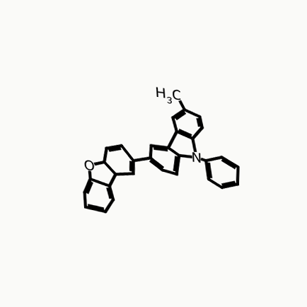 Cc1ccc2c(c1)c1cc(C3=CC4c5ccccc5OC4C=C3)ccc1n2-c1ccccc1